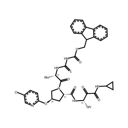 CCC[C@H](NC(=O)[C@@H]1C[C@@H](Oc2ccc(Cl)cn2)CN1C(=O)[C@@H](NC(=S)NC(=O)OCC1c2ccccc2-c2ccccc21)C(C)(C)C)C(=O)C(=O)NC1CC1